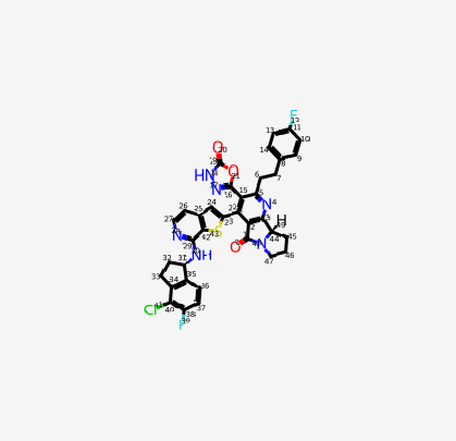 O=C1c2c(nc(CCc3ccc(F)cc3)c(-c3n[nH]c(=O)o3)c2-c2cc3ccnc(N[C@@H]4CCc5c4ccc(F)c5Cl)c3s2)[C@@H]2CCCN12